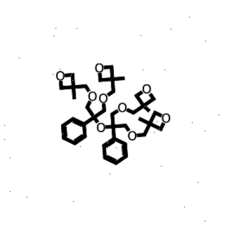 CC1(COCC(COCC2(C)COC2)(OC(COCC2(C)COC2)(COCC2(C)COC2)c2ccccc2)c2ccccc2)COC1